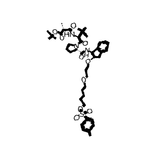 Cc1ccc(S(=O)(=O)OCCCCCOCCCO[C@@H]2Cc3ccccc3[C@@H]2NC(=O)[C@@H]2CCCN2C(=O)[C@@H](NC(=O)[C@@H](C)C(=O)OC(C)(C)C)C(C)(C)C)cc1